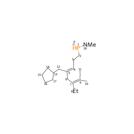 C=[PH](CC/C=C(/CC(CC)=C(C)C)CC1CCCC1)NC